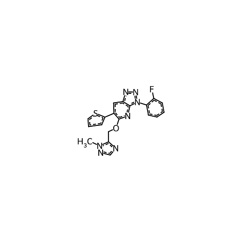 Cn1ncnc1COc1nc2c(cc1-c1cccs1)nnn2-c1ccccc1F